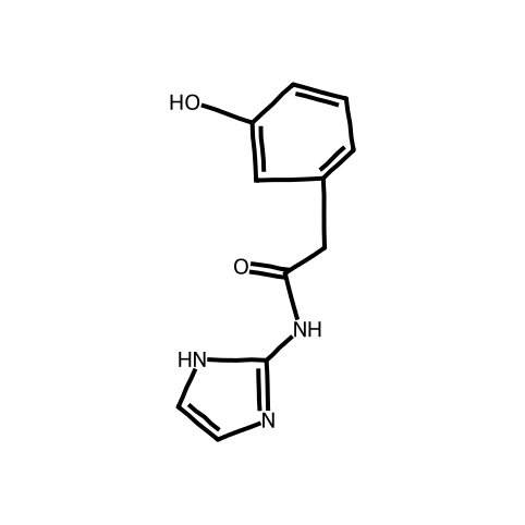 O=C(Cc1cccc(O)c1)Nc1ncc[nH]1